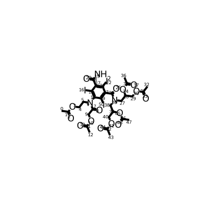 CC(=O)OCCN(C(=O)COC(C)=O)c1c(I)c(C(N)=O)c(I)c(C(=O)N(CC(COC(C)=O)OC(C)=O)CC(COC(C)=O)OC(C)=O)c1I